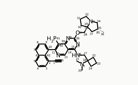 C#Cc1cccc2cccc(-c3ncc4c(NCC5(N(C)C)CCC5)nc(OC[C@@]56CCCN5C[C@H](C)C6)nc4c3P)c12